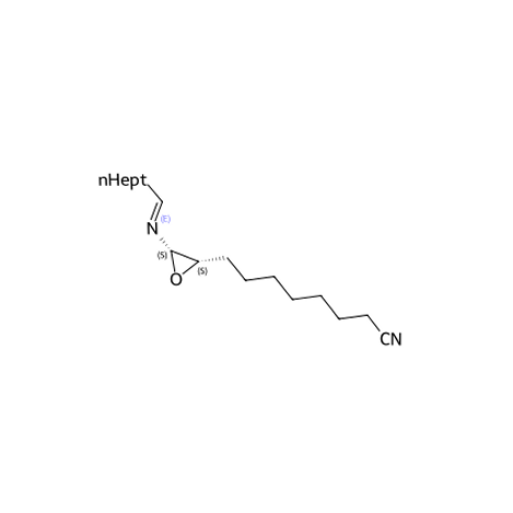 CCCCCCC/C=N/[C@H]1O[C@H]1CCCCCCCC#N